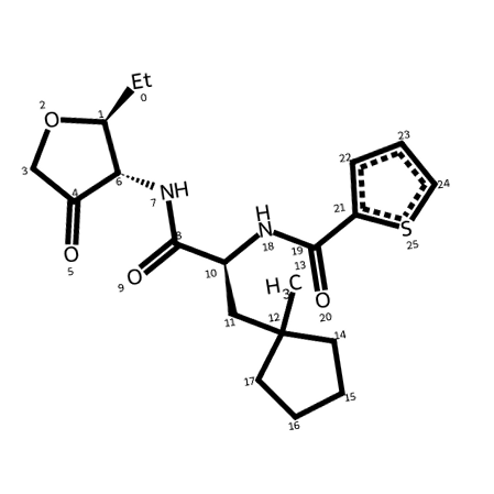 CC[C@@H]1OCC(=O)[C@H]1NC(=O)[C@H](CC1(C)CCCC1)NC(=O)c1cccs1